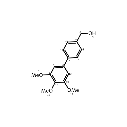 COc1cc(-c2ccc(CO)cc2)cc(OC)c1OC